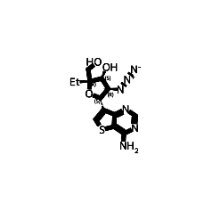 CC[C@]1(CO)O[C@@H](c2csc3c(N)ncnc23)[C@H](N=[N+]=[N-])[C@@H]1O